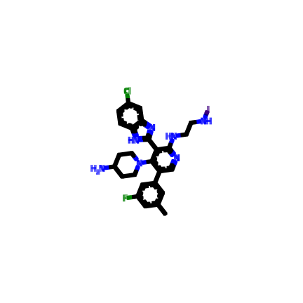 Cc1cc(F)cc(-c2cnc(NCCNI)c(-c3nc4cc(Cl)ccc4[nH]3)c2N2CCC(N)CC2)c1